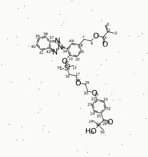 C=C(C)C(=O)OCCc1ccc(O[Si](C)(C)CCOCCOc2ccc(C(=O)C(C)(C)O)cc2)c(-n2nc3ccccc3n2)c1